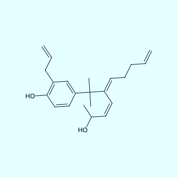 C=CCC/C=C(\C=C/C(C)O)C(C)(C)c1ccc(O)c(CC=C)c1